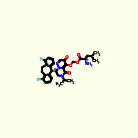 CC(C)C[C@H](N)C(=O)OCOc1c2n(ncc1=O)[C@@H](C1c3cccc(F)c3CCc3c(F)cccc31)CN(C(C)C)C2=O